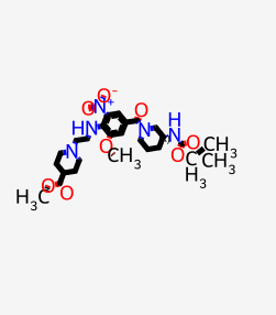 COC(=O)C1CCN(CCNc2c(OC)cc(C(=O)N3CCC[C@@H](NC(=O)OC(C)(C)C)C3)cc2[N+](=O)[O-])CC1